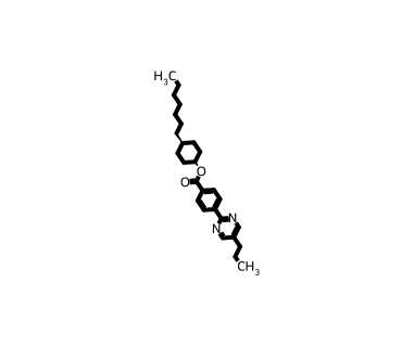 CCCCCCC[C@H]1CC[C@H](OC(=O)c2ccc(-c3ncc(CCC)cn3)cc2)CC1